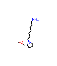 COC[C@H]1CCCN1CCCCCCCN